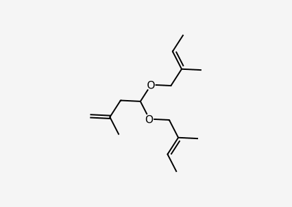 C=C(C)CC(OCC(C)=CC)OCC(C)=CC